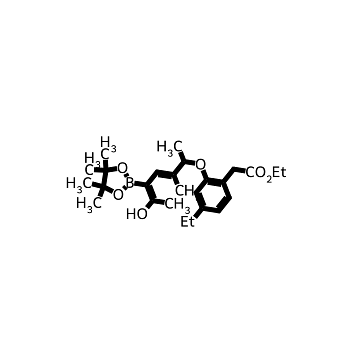 CCOC(=O)Cc1ccc(CC)cc1OC(C)/C(C)=C/C(B1OC(C)(C)C(C)(C)O1)=C(\C)O